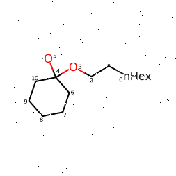 CCCCCCCCOC1([O])CCCCC1